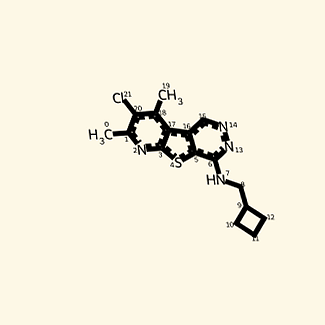 Cc1nc2sc3c(NCC4CCC4)nncc3c2c(C)c1Cl